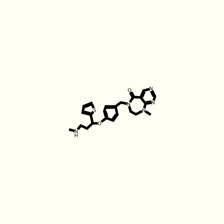 CNCCC(Oc1ccc(CN2CCN(C)c3ncncc3C2=O)cc1)c1cccs1